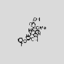 COc1cnc2[nH]cc(C(=O)c3ncc(Oc4ccccc4F)cc3Cl)c2c1N[C@@H]1CC[C@@H](CO)OC1